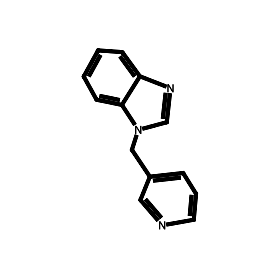 c1cncc(Cn2cnc3ccccc32)c1